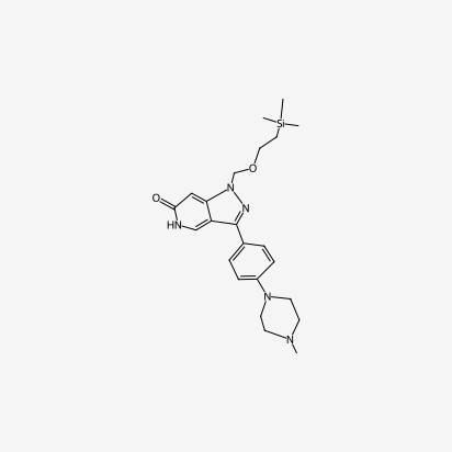 CN1CCN(c2ccc(-c3nn(COCC[Si](C)(C)C)c4cc(=O)[nH]cc34)cc2)CC1